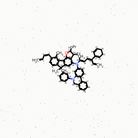 C=C/C=C\c1ccc2c(c1C)-c1c(cc(N(/C(C)=C/C=C(\C=C)C3=CCCC=C3)c3ccc4c(c3)N(c3ccccc3)Cc3ccccc3-4)c3c1OC(CCC)C3CC)C2(C)C